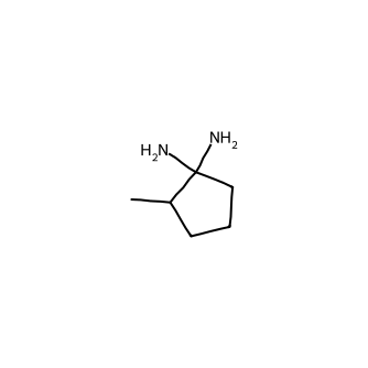 CC1CCCC1(N)N